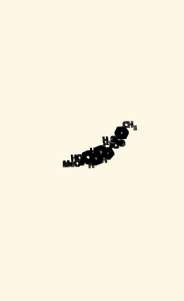 COC[C@@]1(O)CC[C@H]2[C@H](CC[C@@H]3[C@@H]2CC[C@]2(C)[C@@H](COS(=O)(=O)c4ccc(C)cc4)CC[C@@H]32)C1